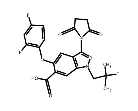 CC(C)(F)Cn1nc(N2C(=O)CCC2=O)c2cc(Oc3ccc(F)cc3F)c(C(=O)O)cc21